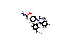 C/C=C(\O)C[C@@H]1CC[C@@H](N(Cc2ccccc2)CC(C)C)[C@H](c2ccc(C(F)(F)F)cc2)C1